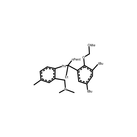 CCCCCC(CC)(Pc1ccc(C)cc1CN(C)C)c1cc(C(C)(C)C)cc(C(C)(C)C)c1OCOC